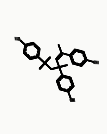 CC(=CC(C)(CC(C)(C)c1ccc(O)cc1)c1ccc(O)cc1)c1ccc(O)cc1